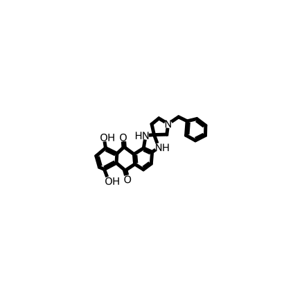 O=C1c2ccc3c(c2C(=O)c2c(O)ccc(O)c21)NC1(CCN(Cc2ccccc2)C1)N3